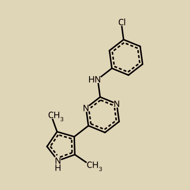 Cc1c[nH]c(C)c1-c1ccnc(Nc2cccc(Cl)c2)n1